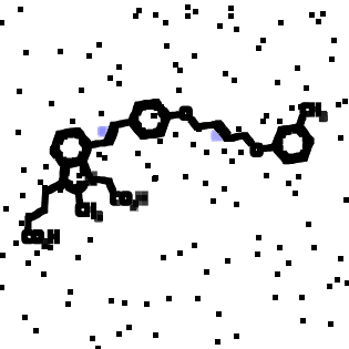 Cc1cccc(OC/C=C/COc2ccc(/C=C/c3cccc4c(CCCC(=O)O)c(C)n(CC(=O)O)c34)cc2)c1